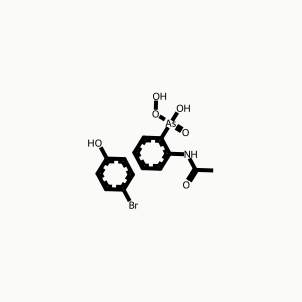 CC(=O)Nc1ccccc1[As](=O)(O)OO.Oc1ccc(Br)cc1